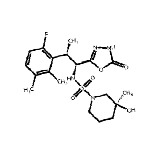 Cc1ccc(F)c([C@@H](C)[C@H](NS(=O)(=O)N2CCC[C@](C)(O)C2)c2n[nH]c(=O)o2)c1C